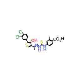 C/C(=N\NC(=S)Nc1ccc(C(=O)O)c(C)c1)c1csc(-c2ccc(Cl)c(Cl)c2)c1O